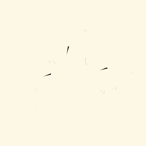 CCC[C@H](NC(=O)[C@@H]1CCC(=O)N1C(=O)OCc1ccccc1)C(=O)N[C@@H](CC(C)C)C(N)=O